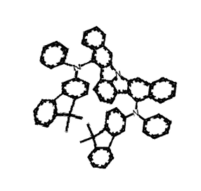 CC1(C)c2ccccc2-c2cc(N(c3ccccc3)c3c4ccccc4cc4c3c3cccc5c6c(N(c7ccccc7)c7ccc8c(c7)-c7ccccc7C8(C)C)c7ccccc7cc6n4c35)ccc21